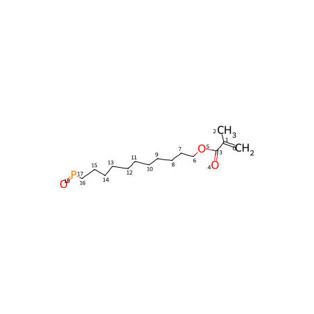 C=C(C)C(=O)OCCCCCCCCCCCP=O